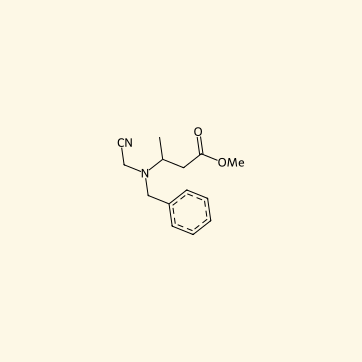 COC(=O)CC(C)N(CC#N)Cc1ccccc1